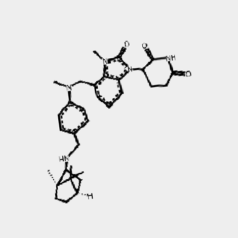 CN(Cc1cccc2c1n(C)c(=O)n2C1CCC(=O)NC1=O)c1ccc(CN[C@H]2C[C@H]3CC[C@]2(C)C3(C)C)cc1